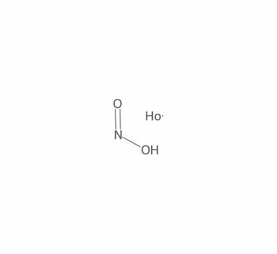 O=NO.[Ho]